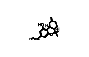 C=C1CC[C@@H]2[C@@H](C1)c1c(O)cc(CCCCC)cc1OC2(C)C